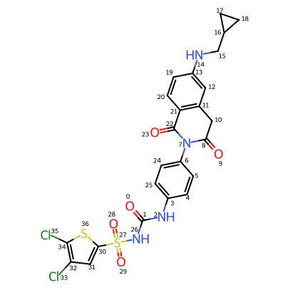 O=C(Nc1ccc(N2C(=O)Cc3cc(NCC4CC4)ccc3C2=O)cc1)NS(=O)(=O)c1cc(Cl)c(Cl)s1